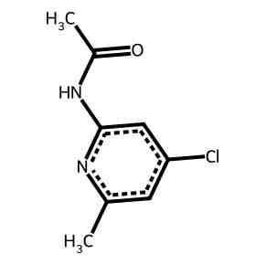 CC(=O)Nc1cc(Cl)cc(C)n1